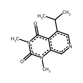 CC(C)c1cncc2c1c(=O)n(C)c(=O)n2C